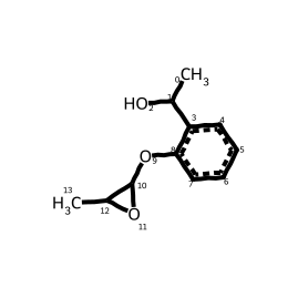 CC(O)c1ccccc1OC1OC1C